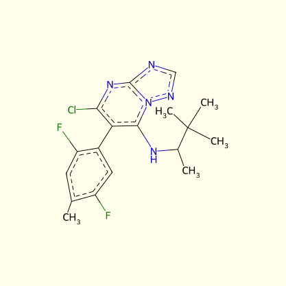 Cc1cc(F)c(-c2c(Cl)nc3ncnn3c2NC(C)C(C)(C)C)cc1F